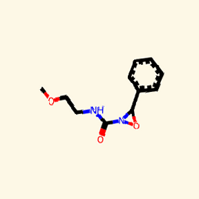 COCCNC(=O)N1OC1c1ccccc1